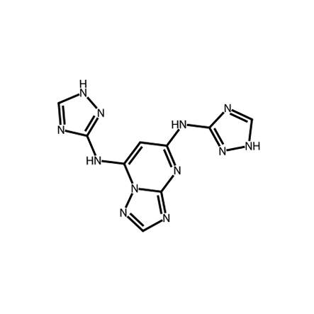 c1nc2nc(Nc3nc[nH]n3)cc(Nc3nc[nH]n3)n2n1